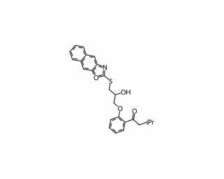 CC(C)CC(=O)c1ccccc1OCC(O)CSc1nc2cc3ccccc3cc2o1